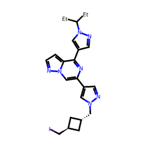 CCC(CC)n1cc(-c2nc(-c3cnn(C[C@H]4C[C@H](CI)C4)c3)cn3nccc23)cn1